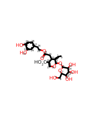 C/C=C1\C(OC2OC(CO)C(O)C(O)C2O)OC=C(C(=O)O)C1CC(=O)OCCc1ccc(O)c(O)c1